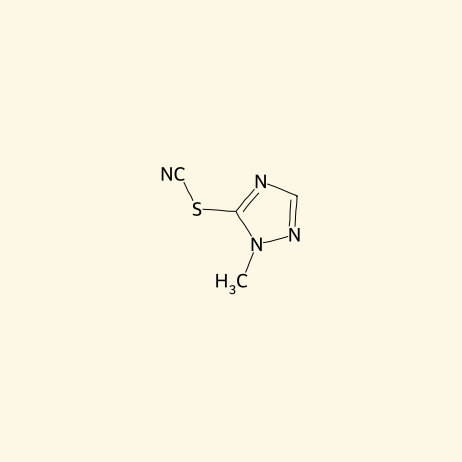 Cn1ncnc1SC#N